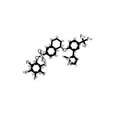 Cn1nccc1-c1cc(C(F)(F)F)ccc1O[C@@H]1CCCc2cc(S(=O)(=O)Oc3c(F)c(F)c(F)c(F)c3F)ccc21